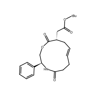 CC(C)(C)OC(=O)C[C@@H]1C/C=C/CCC(=O)N[C@@H](c2ccccc2)COC1=O